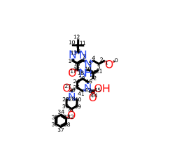 COCCCNc1nc(C(C)(C)C)ncc1C(=O)N(CC(C)C)[C@H]1C[C@@H](C(=O)N2CCC(Oc3ccccc3)CC2)CN(C(=O)O)C1